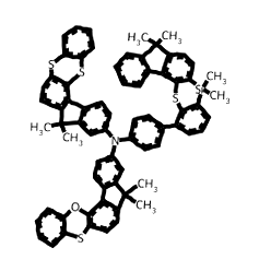 CC1(C)c2cc(N(c3ccc(-c4cccc5c4Sc4c(ccc6c4-c4ccccc4C6(C)C)[Si]5(C)C)cc3)c3ccc4c(c3)C(C)(C)c3ccc5c(c3-4)Sc3ccccc3S5)ccc2-c2c1ccc1c2Oc2ccccc2S1